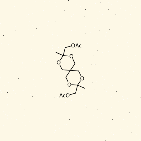 CC(=O)OCC1(C)OCC2(CO1)COC(C)(COC(C)=O)OC2